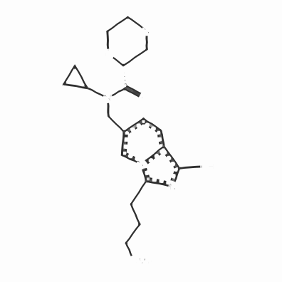 COCCCc1nc(C)c2ccc(CN(C(=O)[C@H]3CNCCO3)C3CC3)cn12